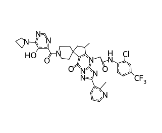 Cc1ncccc1-c1nc2n(CC(=O)Nc3ccc(C(F)(F)F)cc3Cl)c3c(c(=O)n2n1)C1(CCN(C(=O)c2ncnc(N4CCC4)c2O)CC1)CC3C